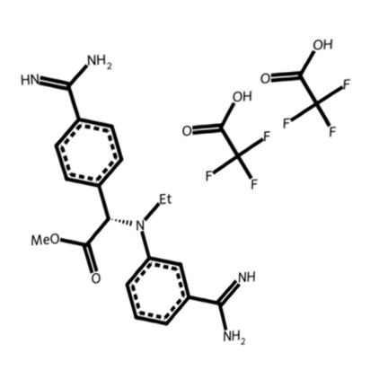 CCN(c1cccc(C(=N)N)c1)[C@H](C(=O)OC)c1ccc(C(=N)N)cc1.O=C(O)C(F)(F)F.O=C(O)C(F)(F)F